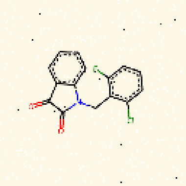 O=C1C(=O)N(Cc2c(F)cccc2Cl)c2ccccc21